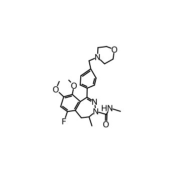 CNC(=O)N1N=C(c2ccc(CN3CCOCC3)cc2)c2c(c(F)cc(OC)c2OC)CC1C